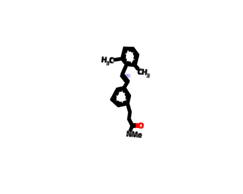 CNC(=O)CCc1cccc(/C=C/c2c(C)cccc2C)c1